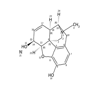 CN1CC[C@]23c4c5ccc(O)c4O[C@H]2[C@@H](O)C=C[C@H]3[C@H]1C5.[N]